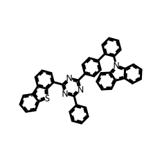 c1ccc(-c2nc(-c3ccc(-c4ccccc4-n4c5ccccc5c5ccccc54)cc3)nc(-c3cccc4c3sc3ccccc34)n2)cc1